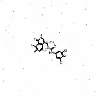 C[C@@H](c1c[nH]c(=O)c2c(F)c(F)ccc12)N(C)C(=O)Nc1cc(Cl)c(F)c(Cl)c1